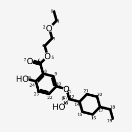 CCOCCOC(=O)c1cc(O[C@@H](O)C2CCC(CC)CC2)ccc1O